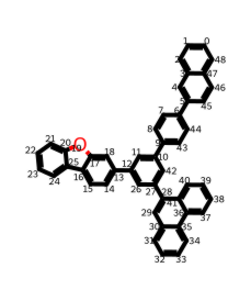 c1ccc2cc(-c3ccc(-c4cc(-c5ccc6c(c5)oc5ccccc56)cc(-c5cc6ccccc6c6ccccc56)c4)cc3)ccc2c1